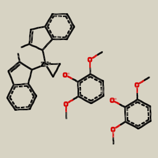 CC1=Cc2ccccc2[CH]1[Zr+2]1([CH]2C(C)=Cc3ccccc32)[CH2][CH2]1.COc1cccc(OC)c1[O-].COc1cccc(OC)c1[O-]